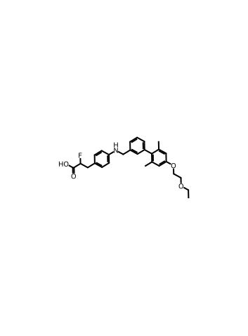 CCOCCOc1cc(C)c(-c2cccc(CNc3ccc(CC(F)C(=O)O)cc3)c2)c(C)c1